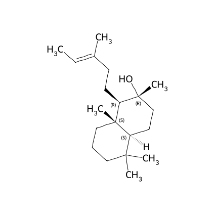 CC=C(C)CC[C@@H]1[C@@]2(C)CCCC(C)(C)[C@@H]2CC[C@@]1(C)O